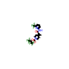 O=C(Nc1cccc(C(F)(F)F)n1)[C@@H]1CC12CCN(C(=O)OC(C(F)(F)F)C(F)(F)F)CC2